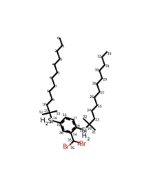 CCCCCCCCCCCC(C)(C)[SiH2]c1ccc([SiH2]C(C)(C)CCCCCCCCCCC)c(C(Br)Br)c1